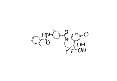 Cc1cc(C(=O)N2CCC(F)(F)[C@](O)(CO)c3cc(Cl)ccc32)ccc1NC(=O)c1ccccc1C